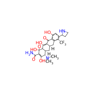 CN(C)[C@@H]1C(O)=C(C(N)=O)C2(O)O[C@@]23C(O)=C2C(=O)c4c(O)cc(C5CCN5)c(C(F)(F)F)c4C[C@H]2C[C@@H]13